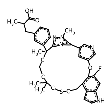 CC(Cc1cccc([C@@]2(C)CCCC(C)(C)CSCCc3c(c(F)cc4[nH]ccc34)Oc3cncc(c3)-c3nc2nn3C)c1)C(=O)O